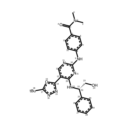 CN(C)C(=O)c1ccc(Nc2ncc(-c3nnc(C(C)(C)C)o3)c(N[C@H](CO)c3ccccc3)n2)cc1